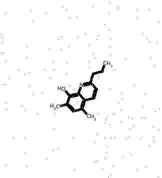 CCCc1ccc2c(C)cc(C)c(O)c2n1